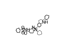 O=C(NS(=O)(=O)c1ccccc1)c1ccc2c(c1)nc(-c1ccc3c(c1)CCC(c1ccccc1)N3)n2C1CCCCC1